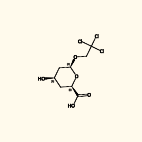 O=C(O)[C@H]1C[C@@H](O)C[C@@H](OCC(Cl)(Cl)Cl)O1